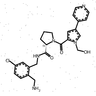 NCc1ccc(Cl)cc1CNC(=O)[C@@H]1CCCN1C(=O)c1cc(-c2ccncc2)cn1CO